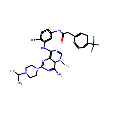 Cc1ccc(NC(=O)CC2=CCC(C(F)(F)F)=CC=C2)cc1NC1=C2N=C(N3CCN(C(C)C)CC3)N=C(N)C2N(C)C=N1